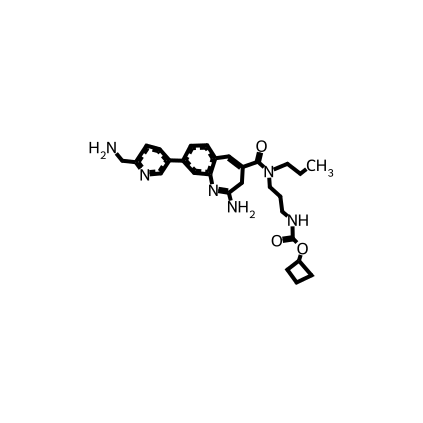 CCCN(CCCNC(=O)OC1CCC1)C(=O)C1=Cc2ccc(-c3ccc(CN)nc3)cc2N=C(N)C1